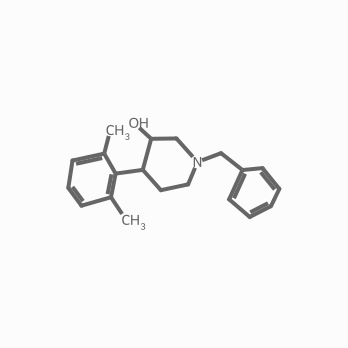 Cc1cccc(C)c1C1CCN(Cc2ccccc2)CC1O